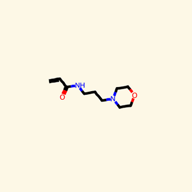 C=CC(=O)NCCCN1CCOCC1